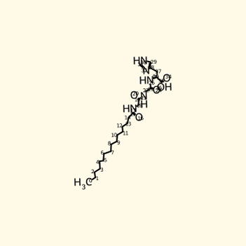 CCCCCCCCCCCCCCCC(=O)NCC(=O)NCC(=O)N[C@@H](Cc1c[nH]cn1)C(=O)O